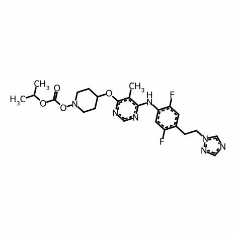 Cc1c(Nc2cc(F)c(CCn3cncn3)cc2F)ncnc1OC1CCN(OC(=O)OC(C)C)CC1